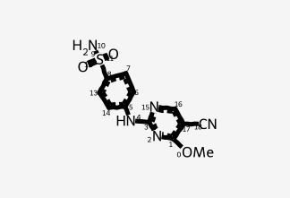 COc1nc(Nc2ccc(S(N)(=O)=O)cc2)ncc1C#N